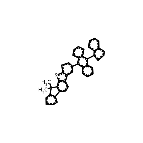 CC1(C)c2ccccc2-c2ccc3c(sc4ccc(-c5c6ccccc6c(-c6cccc7ccccc67)c6ccccc56)cc43)c21